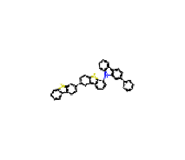 c1ccc(-c2ccc3c4ccccc4n(-c4cccc5c4sc4ccc(-c6ccc7c(c6)sc6ccccc67)cc45)c3c2)cc1